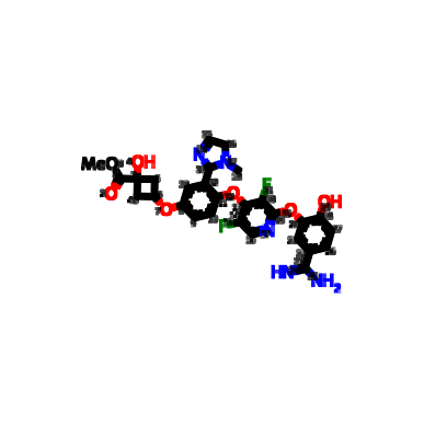 COC(=O)C1(O)CC(Oc2ccc(Oc3c(F)cnc(Oc4cc(C(=N)N)ccc4O)c3F)c(C3N=CCN3C)c2)C1